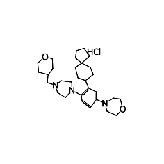 Cl.c1cc(N2CCN(CC3CCOCC3)CC2)c(C2CCC3(CCCC3)CC2)cc1N1CCOCC1